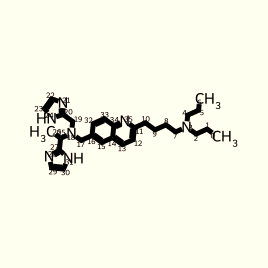 CCCN(CCC)CCCCc1ccc2cc(CN(Cc3ncc[nH]3)C(C)c3ncc[nH]3)ccc2n1